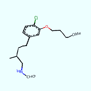 COCCCOc1cc(CCC(C)CNC=O)ccc1Cl